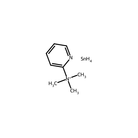 C[N+](C)(C)c1ccccn1.[SnH4]